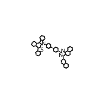 c1ccc2cc(-c3nc(-c4ccc(-c5ccc(-n6c7ccccc7c7c8ccccc8c8c9ccccc9sc8c76)cc5)cc4)nc4c3ccc3ccccc34)ccc2c1